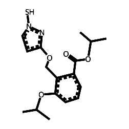 CC(C)OC(=O)c1cccc(OC(C)C)c1COc1ccn(S)n1